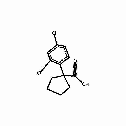 O=C(O)C1(c2ccc(Cl)cc2Cl)CCCC1